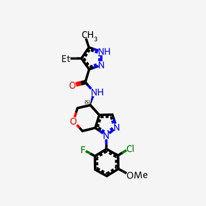 CCc1c(C(=O)N[C@@H]2COCc3c2cnn3-c2c(F)ccc(OC)c2Cl)n[nH]c1C